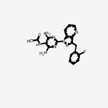 Nc1nc(-n2nc(Cc3ccccc3F)c3ncccc32)nc(N)c1NC(=O)O